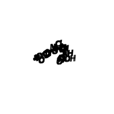 CC(C)(C)OC(=O)N1CCC(c2ncc(-c3cc(N[C@@H]4CCOC[C@H]4O)ncc3Cl)o2)CC1